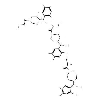 C[C@@H]1CN(C(=O)[C@H](O)CO)CC[C@@H]1[C@@H](N)c1cc(Cl)c(Cl)cc1OO[C@H](CO)C(=O)N1CC[C@@H]([C@@H](N)c2cc(Cl)c(Cl)cc2OOC[C@@H](O)C(=O)N2CCC[C@@H]([C@@H](N)c3cc(Cl)c(Cl)cc3O)CC2)[C@@H](C)C1